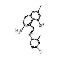 Cc1cc(O)c2c(/C=C/c3ccc(Cl)cc3C)c(N)ccc2c1